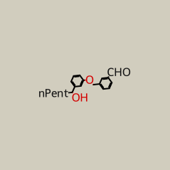 CCCCCC(O)c1cccc(OCc2cccc(C=O)c2)c1